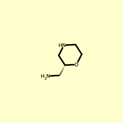 NC[C@@H]1CNCCO1